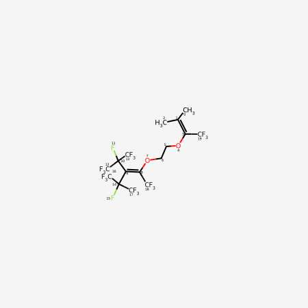 CC(C)=C(OCCOC(=C(C(F)(C(F)(F)F)C(F)(F)F)C(F)(C(F)(F)F)C(F)(F)F)C(F)(F)F)C(F)(F)F